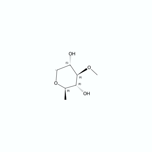 CO[C@H]1[C@H](O)[C@@H](C)O[CH][C@@H]1O